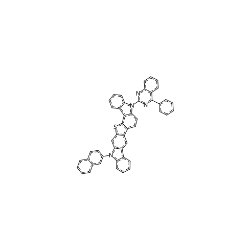 c1ccc(-c2nc(-n3c4ccccc4c4c5sc6cc7c(cc6c5ccc43)c3ccccc3n7-c3ccc4ccccc4c3)nc3ccccc23)cc1